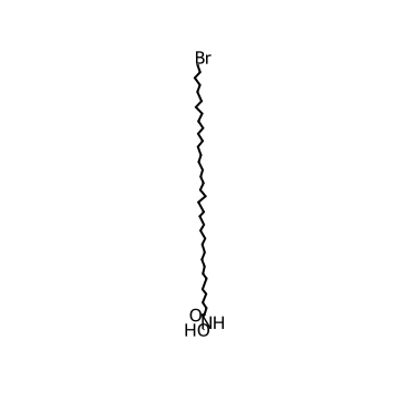 O=C(CCCCCCCCCCCCCCCCCCCCCCCCCCCCCCCCCCCCBr)NO